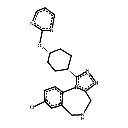 Clc1ccc2c(c1)CNCc1nnc([C@H]3CC[C@@H](Oc4ncccn4)CC3)n1-2